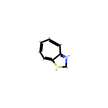 C1=CC=C2SCN=C2C=C1